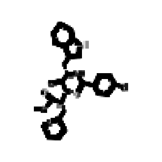 COC(=O)[C@@H](Cc1ccccc1)NC(=O)[C@H](Cc1c[nH]c2ccccc12)NC(=O)c1ccc(Cl)cc1